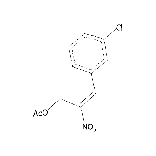 CC(=O)OCC(=Cc1cccc(Cl)c1)[N+](=O)[O-]